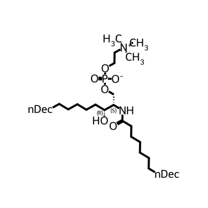 CCCCCCCCCCCCCCCCC(=O)N[C@@H](COP(=O)([O-])OCC[N+](C)(C)C)[C@H](O)CCCCCCCCCCCCCCC